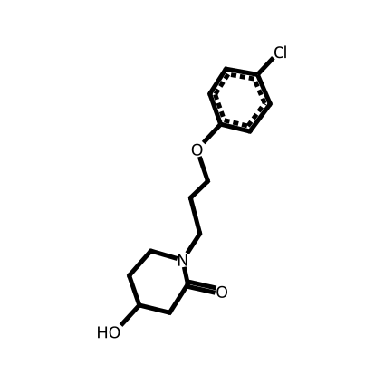 O=C1CC(O)CCN1CCCOc1ccc(Cl)cc1